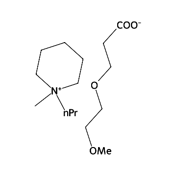 CCC[N+]1(C)CCCCC1.COCCOCCC(=O)[O-]